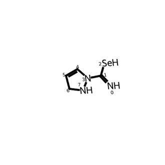 N=C([SeH])N1C=CCN1